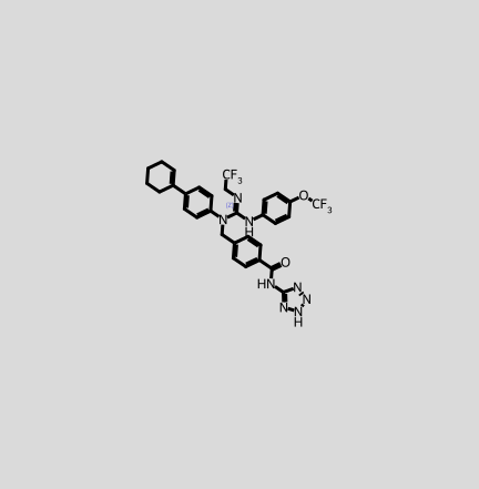 O=C(Nc1nn[nH]n1)c1ccc(CN(/C(=N\CC(F)(F)F)Nc2ccc(OC(F)(F)F)cc2)c2ccc(C3=CCCCC3)cc2)cc1